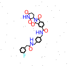 O=C(Cc1cccc(F)c1)NCc1ccc(CNC(=O)c2ccc3c(c2)C(=O)N(C2CCC(=O)NC2=O)C3=O)cc1